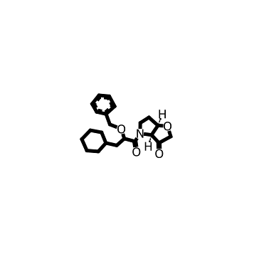 O=C1CO[C@@H]2CCN(C(=O)C(CC3CCCCC3)OCc3ccccc3)[C@H]12